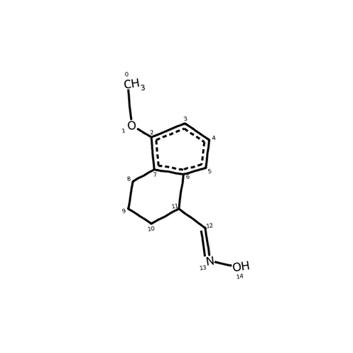 COc1cccc2c1CCCC2C=NO